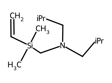 C=C[Si](C)(C)CN(CC(C)C)CC(C)C